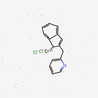 [Cl-].[Cl-].[Cr+2][CH]1C(Cc2ccccn2)=Cc2ccccc21